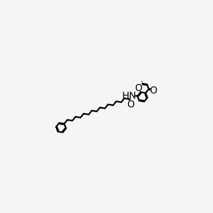 O=C(CCCCCCCCCCCCCCCc1ccccc1)Nc1cccc2c(=O)c[c]oc12